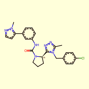 Cc1nnc([C@H]2CCCN2C(=O)Nc2cccc(-c3ccnn3C)c2)n1Cc1ccc(Cl)cc1